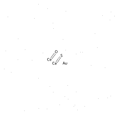 [Au].[O]=[Ce].[S]=[Ce]